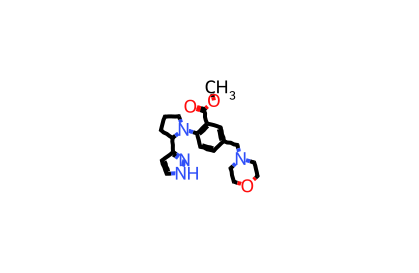 COC(=O)c1cc(CN2CCOCC2)ccc1N1CCCC1c1cc[nH]n1